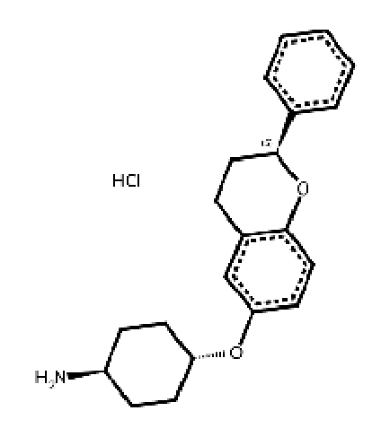 Cl.N[C@H]1CC[C@H](Oc2ccc3c(c2)CC[C@@H](c2ccccc2)O3)CC1